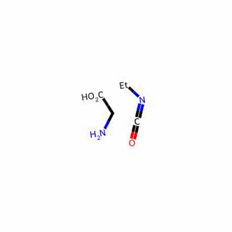 CCN=C=O.NCC(=O)O